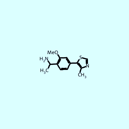 COc1cc(-c2scnc2C)ccc1C(C)N